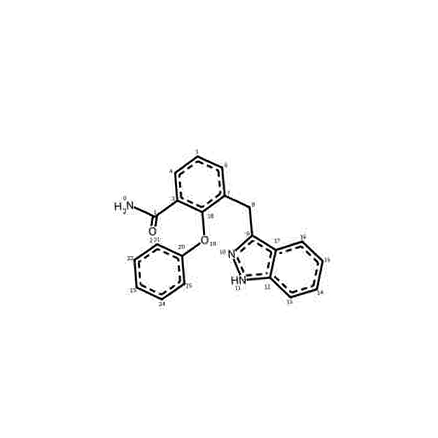 NC(=O)c1cccc(Cc2n[nH]c3ccccc23)c1Oc1ccccc1